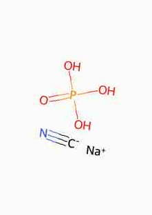 O=P(O)(O)O.[C-]#N.[Na+]